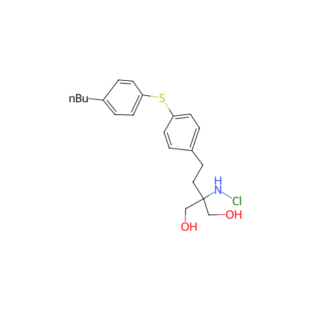 CCCCc1ccc(Sc2ccc(CCC(CO)(CO)NCl)cc2)cc1